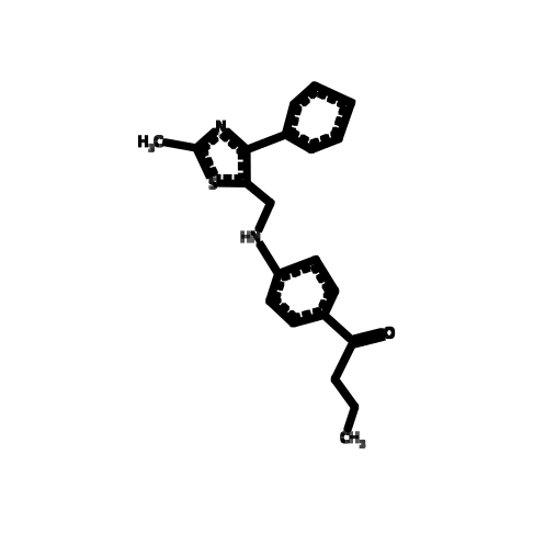 CCCC(=O)c1ccc(NCc2sc(C)nc2-c2ccccc2)cc1